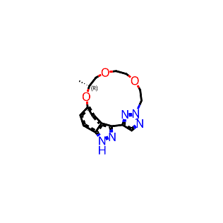 C[C@@H]1COCCOCCn2ncc(n2)-c2n[nH]c3ccc(cc23)O1